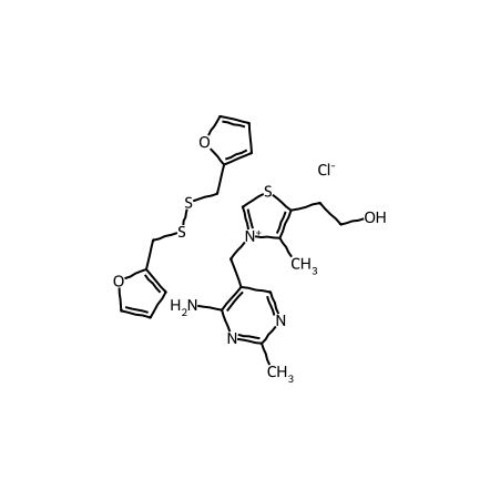 Cc1ncc(C[n+]2csc(CCO)c2C)c(N)n1.[Cl-].c1coc(CSSCc2ccco2)c1